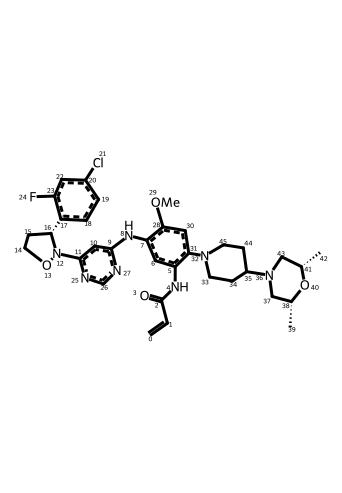 C=CC(=O)Nc1cc(Nc2cc(N3OCC[C@@H]3c3ccc(Cl)cc3F)ncn2)c(OC)cc1N1CCC(N2C[C@@H](C)O[C@@H](C)C2)CC1